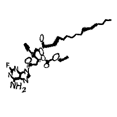 C#C[C@]1(COC(=O)CCCCCCCCCCCCC)O[C@@H](n2cnc3c(N)nc(F)nc32)C[C@@H]1OC(=O)OCC